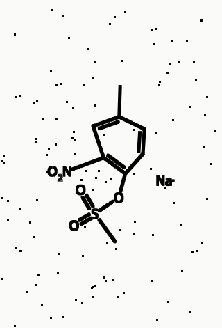 Cc1ccc(OS(C)(=O)=O)c([N+](=O)[O-])c1.[Na]